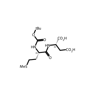 CSCC[C@H](NC(=O)OC(C)(C)C)C(=O)N[C@@H](CC(=O)O)C(=O)O